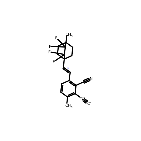 [C-]#[N+]c1c(C)ccc(/C=C/C23CCC(C)(CC2)C(F)(F)C3(F)F)c1C#N